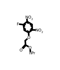 CCCOC(=O)COc1cc(F)c([N+](=O)[O-])cc1[N+](=O)[O-]